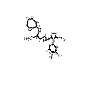 CC(CCNc1nnc(N)n1-c1ccc(F)c(F)c1)OC1CCCCO1